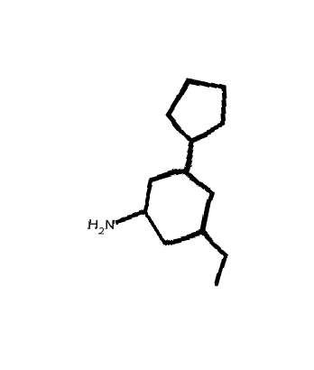 CCC1CC(N)CC(C2CCCC2)C1